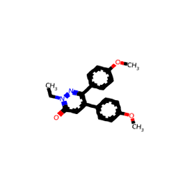 CCn1nc(-c2ccc(OC)cc2)c(-c2ccc(OC)cc2)cc1=O